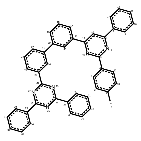 Fc1ccc(-c2nc(-c3ccccc3)cc(-c3cccc(-c4cccc(-c5nc(-c6ccccc6)nc(-c6ccccc6)n5)c4)c3)n2)cc1